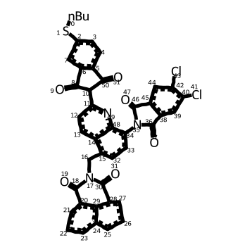 CCCCSc1ccc2c(c1)C(=O)C(c1ccc3c(CN4C(=O)c5cccc6cccc(c56)C4=O)ccc(N4C(=O)c5cc(Cl)c(Cl)cc5C4=O)c3n1)C2=O